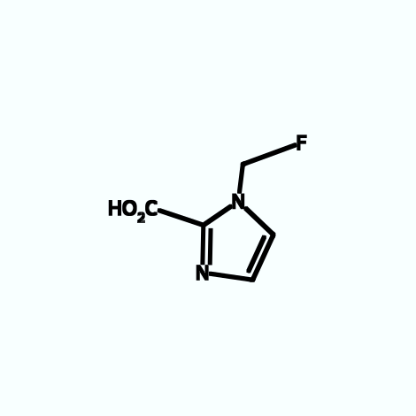 O=C(O)c1nccn1CF